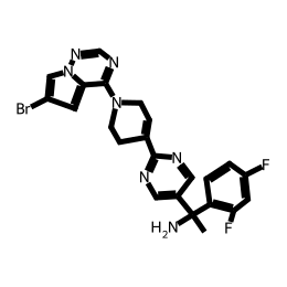 CC(N)(c1cnc(C2=CCN(c3ncnn4cc(Br)cc34)CC2)nc1)c1ccc(F)cc1F